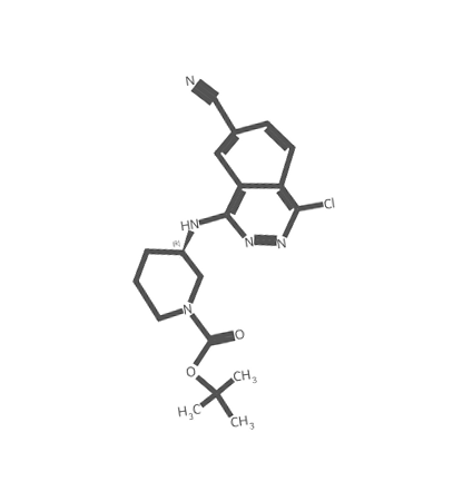 CC(C)(C)OC(=O)N1CCC[C@@H](Nc2nnc(Cl)c3ccc(C#N)cc23)C1